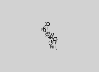 Cc1cccc(F)c1Cn1cc(-c2nc(C(=O)Nc3cccc(F)c3N3CCC[C@@H](N)C3)cs2)cn1